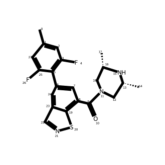 Cc1cc(F)c(-c2cc(C(=O)N3C[C@@H](C)N[C@@H](C)C3)c3sncc3c2)c(F)c1